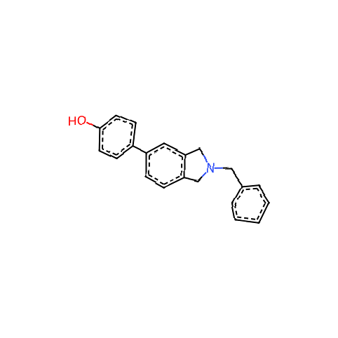 Oc1ccc(-c2ccc3c(c2)CN(Cc2ccccc2)C3)cc1